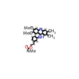 CNC(=O)OCCc1cccc(Nc2c3cc(C)c(C)cc3nc3cc(OC)c(OC)cc23)c1